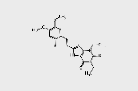 CCn1c(=O)c2[nH]c(/C=C/c3cc(OC)c(OC)cc3Br)nc2n(CC)c1=O